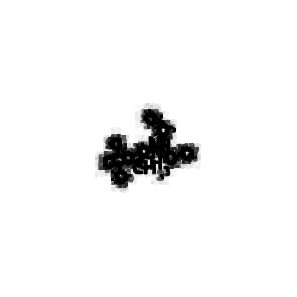 CC1(C)c2cc(-c3nc(-c4cccc(-c5ccccc5)c4)nc(-c4cccc(-c5ccccc5)c4)n3)ccc2-c2cc3c(-c4ccccc4)c4ccccc4c(-c4ccccc4)c3cc21